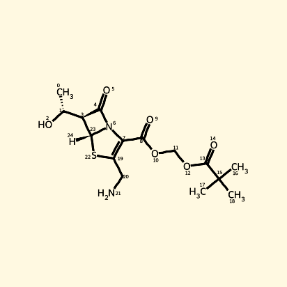 C[C@@H](O)[C@H]1C(=O)N2C(C(=O)OCOC(=O)C(C)(C)C)=C(CN)S[C@H]12